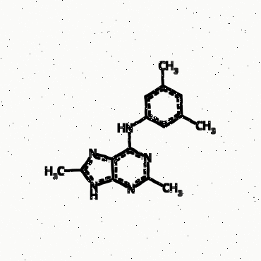 Cc1cc(C)cc(Nc2nc(C)nc3[nH]c(C)nc23)c1